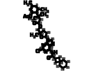 CC(=O)Oc1cc(C)cc(C)c1C(C)(C)CC(=O)OC[C@]1(C)CC[C@H](n2cnc3c(NC(=O)C4CC5(CCCCC5)C4)nc(Cl)nc32)O1